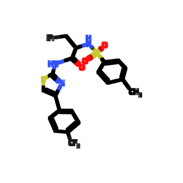 Cc1ccc(S(=O)(=O)NC(CC(C)C)C(=O)Nc2nc(-c3ccc(C(F)(F)F)cc3)cs2)cc1